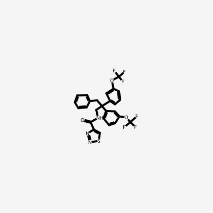 O=C(NCC(Cc1ccccc1)(c1cccc(OC(F)(F)F)c1)c1cccc(OC(F)(F)F)c1)c1csnn1